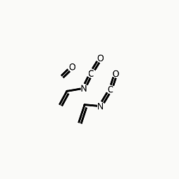 C=CN=C=O.C=CN=C=O.C=O